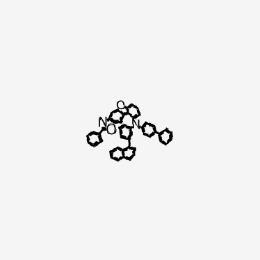 c1ccc(-c2ccc(N(c3cccc(-c4cccc5ccccc45)c3)c3cccc4oc5cc6nc(-c7ccccc7)oc6cc5c34)cc2)cc1